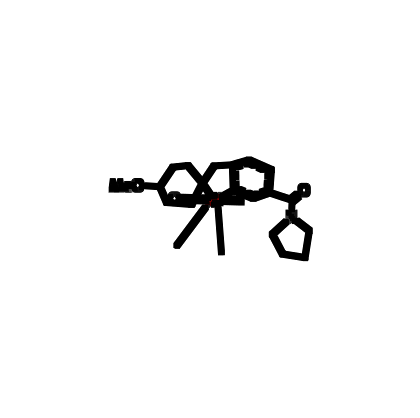 COC1CCC2(CC1)Cc1ccc(C(=O)N3CCCC3)cc1C21N=C(C)N(C)C1=O